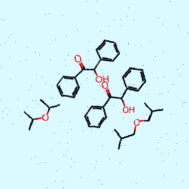 CC(C)COCC(C)C.CC(C)OC(C)C.O=C(c1ccccc1)C(O)c1ccccc1.O=C(c1ccccc1)C(O)c1ccccc1